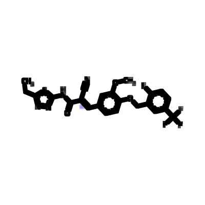 CCc1nnc(NC(=O)/C(C#N)=C/c2ccc(OCc3cc(C(F)(F)F)ccc3F)c(OC)c2)s1